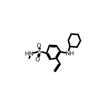 C=Cc1cc(S(=O)(=O)NC)ccc1NC1CCCCC1